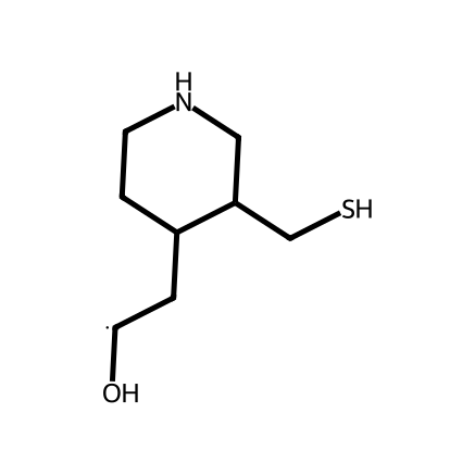 O[CH]CC1CCNCC1CS